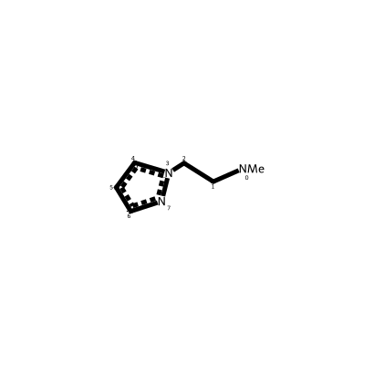 CNCCn1cc[c]n1